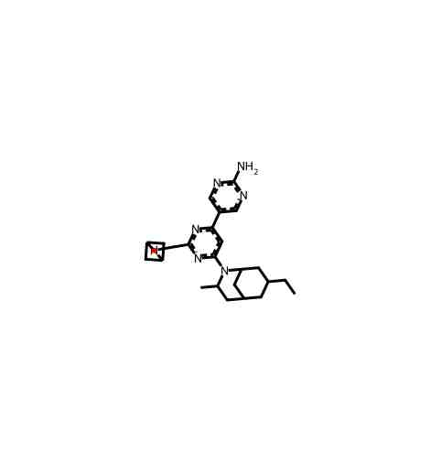 CCC1CC2CC(C)N(c3cc(-c4cnc(N)nc4)nc(N4CC5CC4C5)n3)C(C1)C2